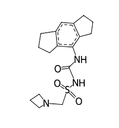 O=C(Nc1c2c(cc3c1CCC3)CCC2)NS(=O)(=O)CN1CCC1